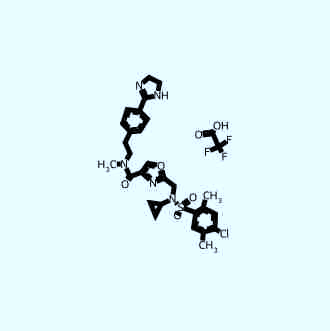 Cc1cc(S(=O)(=O)N(Cc2nc(C(=O)N(C)CCc3ccc(C4=NCCN4)cc3)co2)C2CC2)c(C)cc1Cl.O=C(O)C(F)(F)F